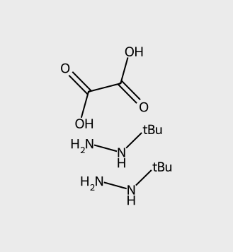 CC(C)(C)NN.CC(C)(C)NN.O=C(O)C(=O)O